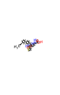 CC#Cc1cccc(-c2ccc(CC(NS(=O)(=O)c3cccs3)c3cccc(NCC(=O)O)n3)cc2)c1